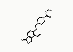 C=Cc1c(CCN2CCN(C(=O)OC(C)(C)C)CC2)ccc2c1COC2=O